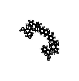 COC(=O)N[C@H](C(=O)N1CCC[C@H]1c1ncc(-c2ccc3cc(-c4ccc(-c5cnc([C@@H]6CCCN6C(=O)[C@H](NC(=O)OC)c6ccccc6)[nH]5)cc4F)ncc3c2)[nH]1)C1CCOCC1